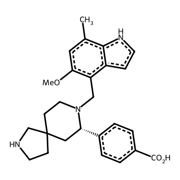 COc1cc(C)c2[nH]ccc2c1CN1CCC2(CCNC2)C[C@H]1c1ccc(C(=O)O)cc1